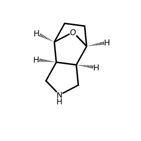 C1NC[C@H]2[C@@H]1[C@H]1CC[C@@H]2O1